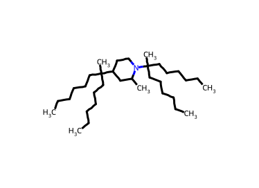 CCCCCCC(C)(CCCCCC)C1CCN(C(C)(CCCCCC)CCCCCC)C(C)C1